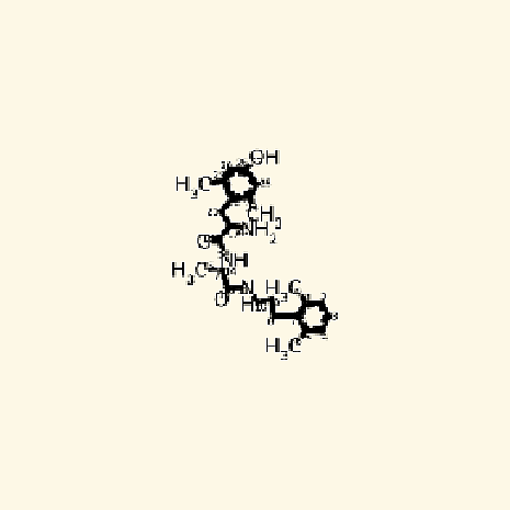 Cc1cccc(C)c1CCCNC(=O)[C@@H](C)NC(=O)C(N)Cc1c(C)cc(O)cc1C